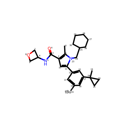 Cc1c(C(=O)NC2COC2)cc(-c2cc(C(C)(C)C)cc(C3(C)CC3)c2)n1CC1CCCCC1